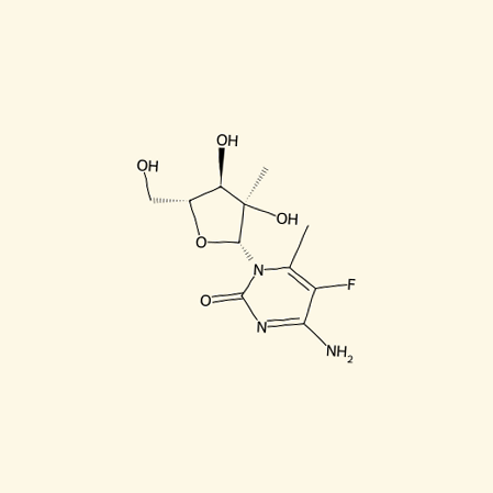 Cc1c(F)c(N)nc(=O)n1[C@@H]1O[C@H](CO)[C@@H](O)[C@@]1(C)O